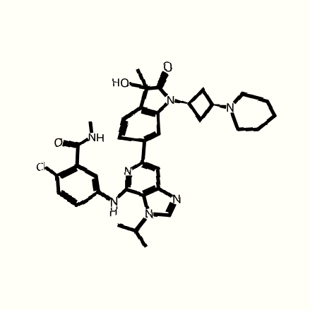 CNC(=O)c1cc(Nc2nc(-c3ccc4c(c3)N([C@H]3C[C@@H](N5CCCCC5)C3)C(=O)C4(C)O)cc3ncn(C(C)C)c23)ccc1Cl